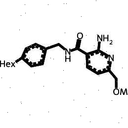 CCCCCCc1ccc(CNC(=O)c2ccc(COC)nc2N)cc1